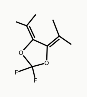 CC(C)=C1OC(F)(F)OC1=C(C)C